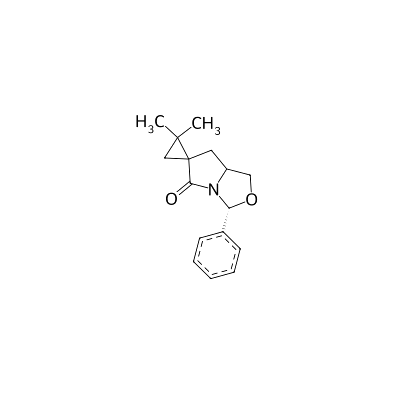 CC1(C)CC12CC1CO[C@H](c3ccccc3)N1C2=O